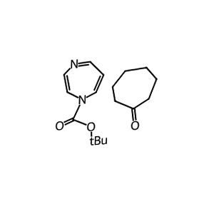 CC(C)(C)OC(=O)N1C=CC=NC=C1.O=C1CCCCCC1